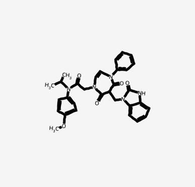 COc1ccc(N(C(=O)CN2C=CN(c3ccccc3)C(=O)C(Cn3c(=O)[nH]c4ccccc43)C2=O)C(C)C)cc1